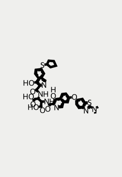 CN(C)c1nc2ccc(Oc3ccc4c(O)c(C(=O)NC(C(=O)O)C(NC(=O)c5ncc6cc(SC7CCCC7)ccc6c5O)C(=O)O)ncc4c3)cc2s1